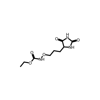 CCOC(=O)NOCCCC1NC(=O)NC1=O